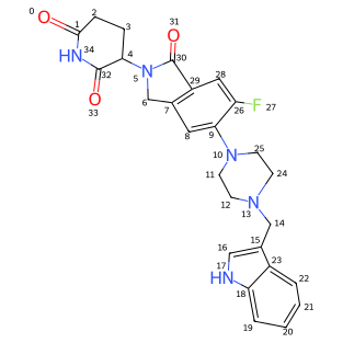 O=C1CCC(N2Cc3cc(N4CCN(Cc5c[nH]c6ccccc56)CC4)c(F)cc3C2=O)C(=O)N1